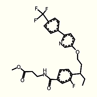 CCC(CCOc1ccc(-c2ccc(C(F)(F)F)cc2)nc1)c1ccc(C(=O)NCCC(=O)OC)cc1F